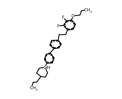 CCCOc1ccc(CCc2ccc(-c3ccc([SiH]4CCC(CCC)CC4)cc3)cc2)c(F)c1F